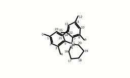 Cc1cc(C)c([Si]2(c3c(C)cc(C)cc3C)CCCCC2)c(C)c1